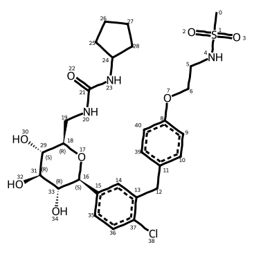 CS(=O)(=O)NCCOc1ccc(Cc2cc([C@@H]3O[C@H](CNC(=O)NC4CCCC4)[C@@H](O)[C@H](O)[C@H]3O)ccc2Cl)cc1